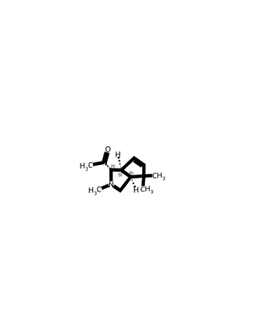 CC(=O)[C@@H]1[C@H]2C=CC(C)(C)[C@H]2CN1C